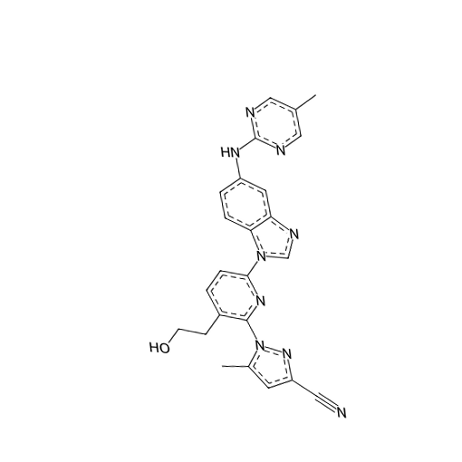 Cc1cnc(Nc2ccc3c(c2)ncn3-c2ccc(CCO)c(-n3nc(C#N)cc3C)n2)nc1